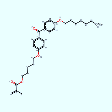 C=C(C)C(=O)OCCCCCOc1ccc(C(=O)c2ccc(OCCCCCCOC)cc2)cc1